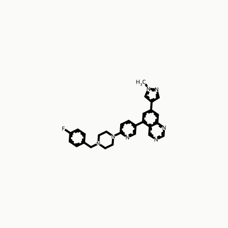 Cn1cc(-c2cc(-c3ccc(N4CCN(Cc5ccc(F)cc5)CC4)nc3)c3cncnc3c2)cn1